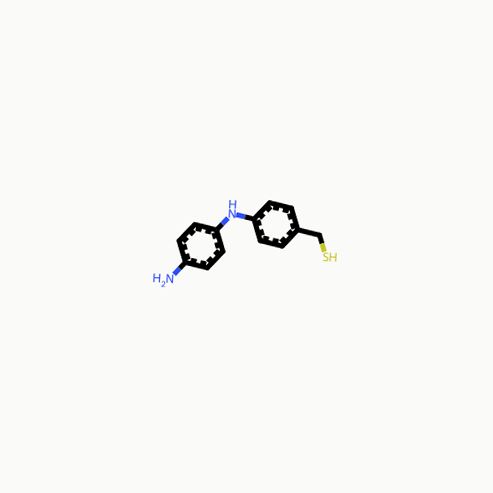 Nc1ccc(Nc2ccc(CS)cc2)cc1